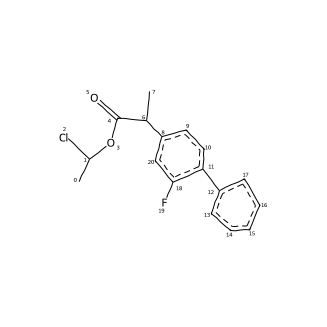 CC(Cl)OC(=O)C(C)c1ccc(-c2ccccc2)c(F)c1